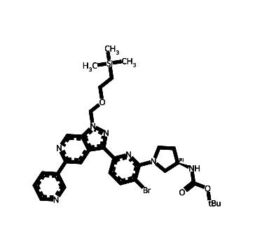 CC(C)(C)OC(=O)N[C@@H]1CCN(c2nc(-c3nn(COCC[Si](C)(C)C)c4cnc(-c5cccnc5)cc34)ccc2Br)C1